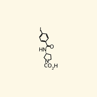 O=C(N[C@@H]1CCN(C(=O)O)C1)c1ccc(I)cc1